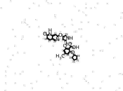 Cc1cc(OC[C@H]2C[C@H](Oc3cc4[nH]c(=O)ccc4cn3)CN2)c(C(=O)O)c(OC2CCCC2)c1